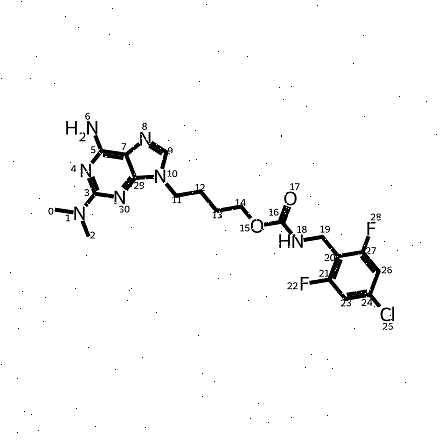 CN(C)c1nc(N)c2ncn(CCCCOC(=O)NCc3c(F)cc(Cl)cc3F)c2n1